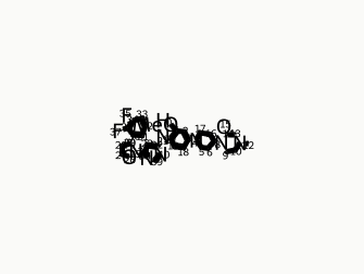 COc1cc(N2CCC(N3CCN(C)CC3=O)CC2)ccc1Nc1cc(N2OCC[C@@H]2c2cccc(F)c2F)ncn1